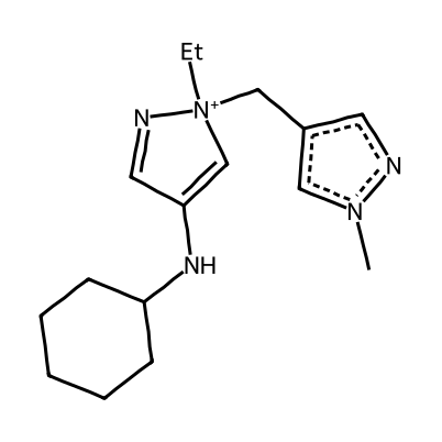 CC[N+]1(Cc2cnn(C)c2)C=C(NC2CCCCC2)C=N1